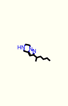 CCCCC(C)c1cc2n(n1)CCNC2